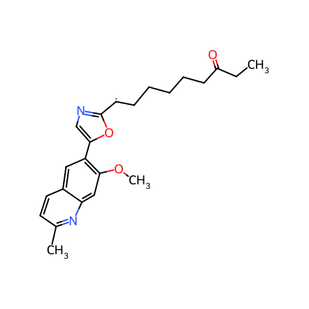 CCC(=O)CCCCC[CH]c1ncc(-c2cc3ccc(C)nc3cc2OC)o1